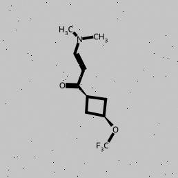 CN(C)/C=C/C(=O)[C@H]1C[C@@H](OC(F)(F)F)C1